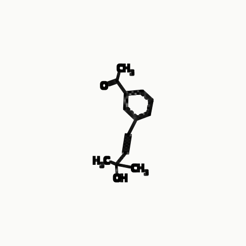 CC(=O)c1cccc(C#CC(C)(C)O)c1